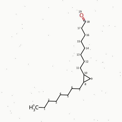 CCCCCCCCC1CC1CCCCCCCC=O